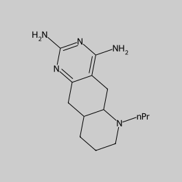 CCCN1CCCC2Cc3nc(N)nc(N)c3CC21